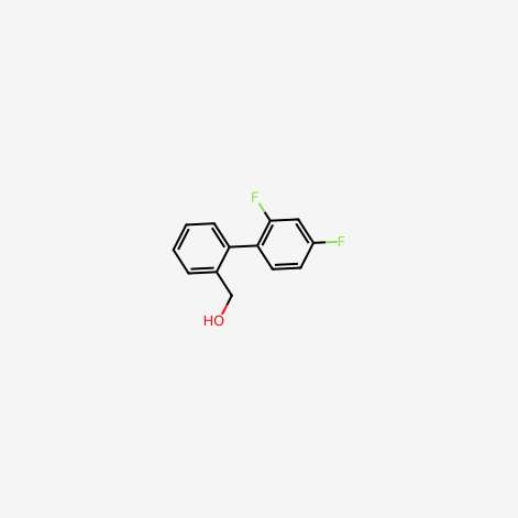 OCc1ccccc1-c1ccc(F)cc1F